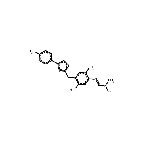 CCN(C)C=Nc1cc(C)c(Cc2nc(-c3ccc(C)cc3)cs2)cc1C